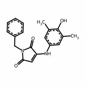 Cc1cc(NC2=CC(=O)N(Cc3ccccc3)C2=O)cc(C)c1O